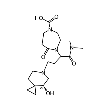 CN(C)C(=O)C(CCN1CCC2(CC2)[C@H](O)C1)N1CCN(C(=O)O)CCC1=O